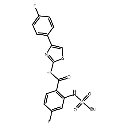 CCC(C)S(=O)(=O)Nc1cc(F)ccc1C(=O)Nc1nc(-c2ccc(F)cc2)cs1